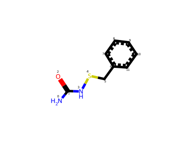 NC(=O)NSCc1ccccc1